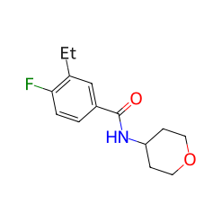 CCc1cc(C(=O)NC2CCOCC2)ccc1F